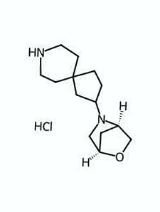 C1CC2(CCN1)CCC(N1C[C@H]3C[C@@H]1CO3)C2.Cl